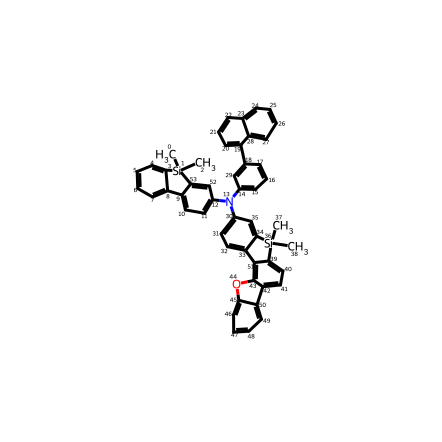 C[Si]1(C)c2ccccc2-c2ccc(N(c3cccc(-c4cccc5ccccc45)c3)c3ccc4c(c3)[Si](C)(C)c3ccc5c(oc6ccccc65)c3-4)cc21